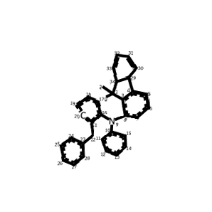 CC1(C)c2c(cccc2N(c2ccccc2)c2ccccc2Cc2ccccc2)C2C=CC=CC21